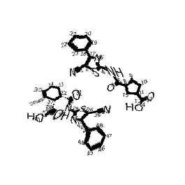 N#Cc1sc(NC(=O)C2CCC(C(=O)O)C2)nc1-c1ccccc1.N#Cc1sc(NC(=O)[C@H]2CCCC[C@H]2C(=O)O)nc1-c1ccccc1